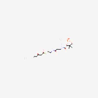 COP1(=O)OCC(C)(C)[C@H](C(=O)NCCC(=O)NCCSC(=O)CC(=O)CCC(=O)O)O1